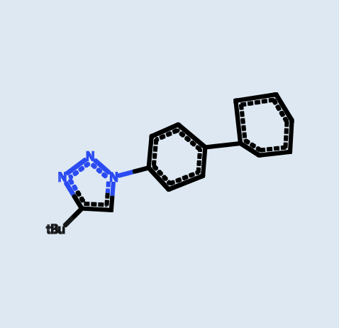 CC(C)(C)c1cn(-c2ccc(-c3ccccc3)cc2)nn1